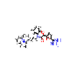 C[C@@H]1CCC[C@H](C)N1CCCCCN1C(=O)C(c2ccc(C(=N)N)o2)Oc2ccccc21